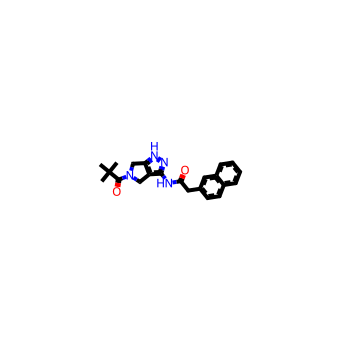 CC(C)(C)C(=O)N1Cc2[nH]nc(NC(=O)Cc3ccc4ccccc4c3)c2C1